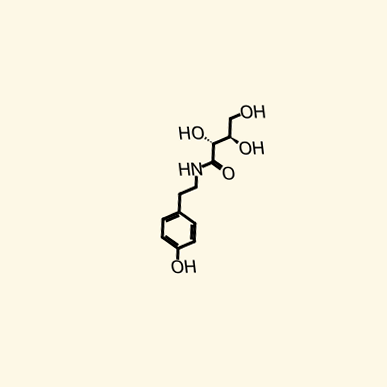 O=C(NCCc1ccc(O)cc1)[C@H](O)[C@H](O)CO